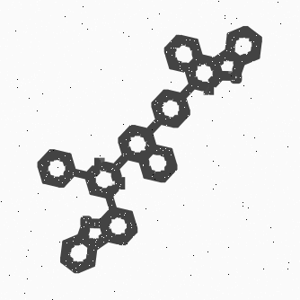 c1ccc(-c2cc(-c3cccc4c3oc3ccccc34)nc(-c3ccc(-c4ccc(-c5nc6oc7ccccc7c6c6ccccc56)cc4)c4ccccc34)n2)cc1